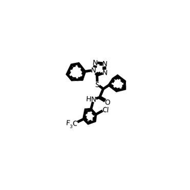 O=C(Nc1cc(C(F)(F)F)ccc1Cl)C(Sc1nnnn1-c1ccccc1)c1ccccc1